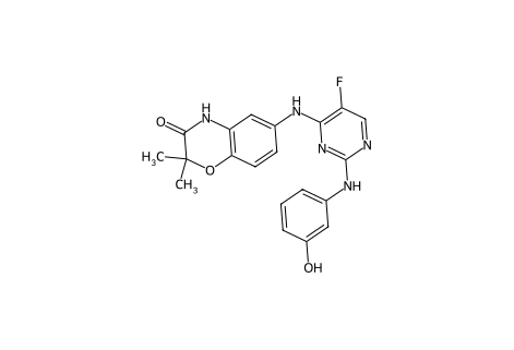 CC1(C)Oc2ccc(Nc3nc(Nc4cccc(O)c4)ncc3F)cc2NC1=O